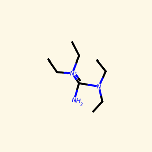 CCN(CC)C(N)=[N+](CC)CC